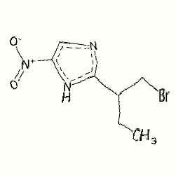 CCC(CBr)c1ncc([N+](=O)[O-])[nH]1